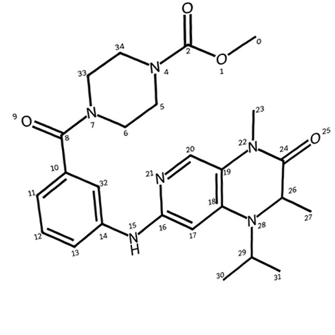 COC(=O)N1CCN(C(=O)c2cccc(Nc3cc4c(cn3)N(C)C(=O)C(C)N4C(C)C)c2)CC1